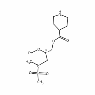 CC(C)O[C@H](COC(=O)C1CCNCC1)CN(C)S(C)(=O)=O